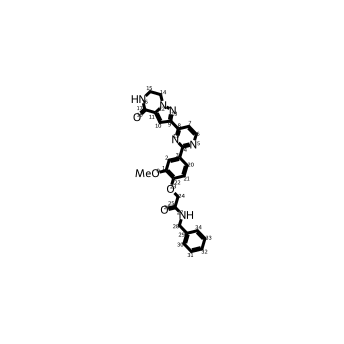 COc1cc(-c2nccc(-c3cc4n(n3)CCNC4=O)n2)ccc1OCC(=O)NCc1ccccc1